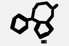 CN1CCOC(c2ccccc2)c2ccccc2C1.Cl